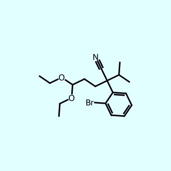 CCOC(CCC(C#N)(c1ccccc1Br)C(C)C)OCC